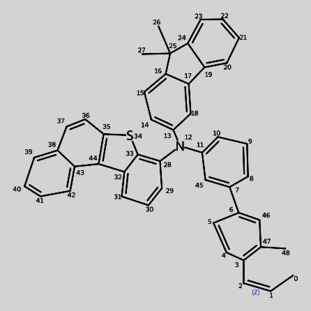 C/C=C\c1ccc(-c2cccc(N(c3ccc4c(c3)-c3ccccc3C4(C)C)c3cccc4c3sc3ccc5ccccc5c34)c2)cc1C